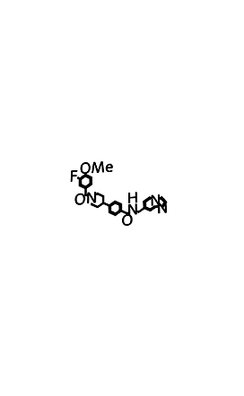 COc1ccc(C(=O)N2CCC(c3ccc(C(=O)NCc4ccn5ccnc5c4)cc3)CC2)cc1F